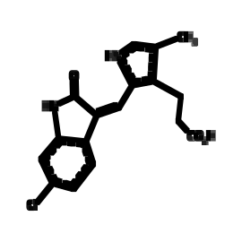 Cc1c[nH]c(C=C2C(=O)Nc3cc(Cl)ccc32)c1CCC(=O)O